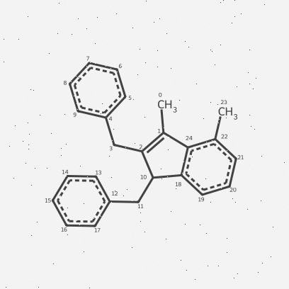 CC1=C(Cc2ccccc2)C(Cc2ccccc2)c2cccc(C)c21